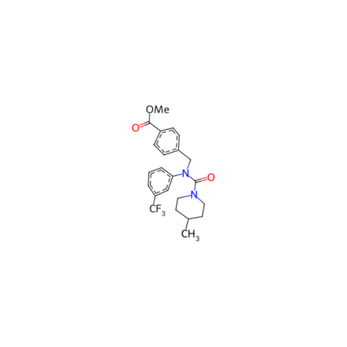 COC(=O)c1ccc(CN(C(=O)N2CCC(C)CC2)c2cccc(C(F)(F)F)c2)cc1